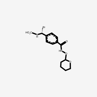 CC(C)[C@@H](NC(=O)O)c1ccc(C(=O)NOC2CCCCO2)cc1